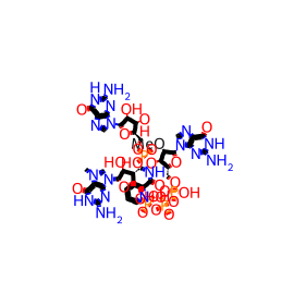 CO[C@@H]1[C@H](OP(=O)(O)OC[C@H]2O[C@@H](n3cnc4c(=O)[nH]c(N)nc43)[C@H](O)[C@@H]2O)[C@@H](COP(=O)(O)OP(=O)(O)OP(=O)(O)OC[C@H]2OC(n3c[n+](C)c4c(=O)[nH]c(N)nc43)[C@H](O)[C@@H]2CNC(=O)c2ccccn2)O[C@H]1n1cnc2c(=O)[nH]c(N)nc21